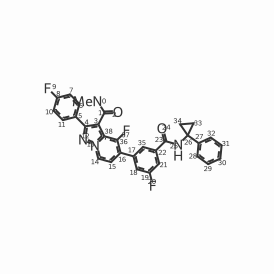 CNC(=O)c1c(-c2ccc(F)cc2)nn2ccc(-c3cc(F)cc(C(=O)NC4(c5ccccc5)CC4)c3)c(F)c12